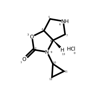 Cl.O=C1OC2CNC[C@@H]2N1C1CC1